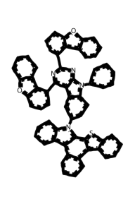 c1ccc(-n2c3ccc(-n4c5ccccc5c5c6ccccc6c6c7ccccc7sc6c54)cc3c3c(-c4cccc5oc6ccccc6c45)nc(-c4cccc5oc6ccccc6c45)nc32)cc1